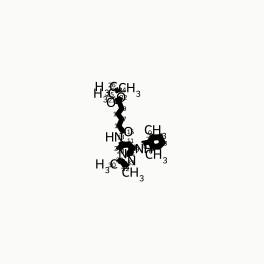 Cc1cccc(C)c1CNc1cc(NC(=O)CCCCC(=O)OC(C)(C)C)cn2c(C)c(C)nc12